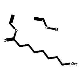 C=COC(=O)CCCCCCCCCCCCCCCCC.C=COCC